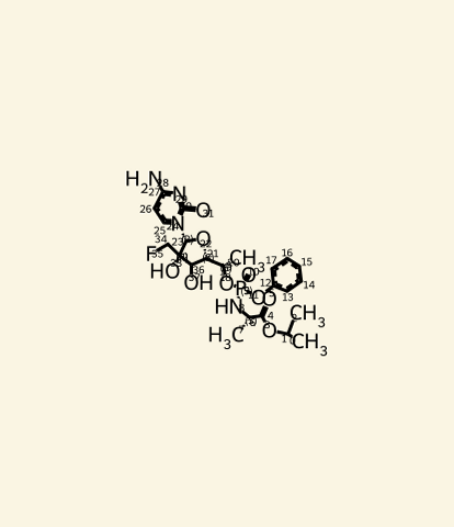 CC(C)OC(=O)[C@H](C)N[P@@](=O)(Oc1ccccc1)O[C@@H](C)[C@H]1O[C@@H](n2ccc(N)nc2=O)[C@@](O)(CF)C1O